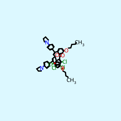 CCCCCOc1ccc(/C(=C\C2(/C=C(\c3ccc(OCCCCC)cc3)c3ccc(N4CCCC4)cc3)OC(=O)c3c(Cl)c(Cl)c(Cl)c(Cl)c32)c2ccc(N3CCCC3)cc2)cc1